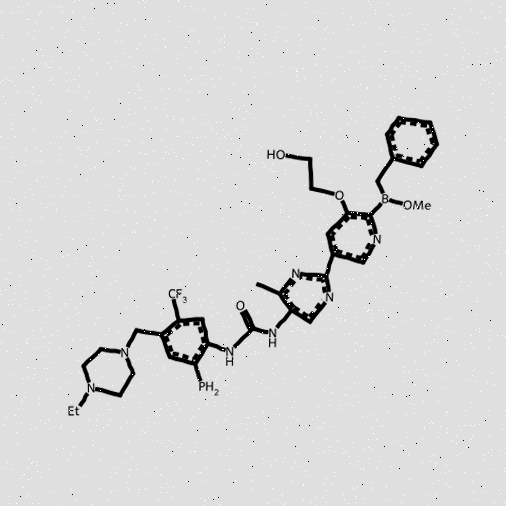 CCN1CCN(Cc2cc(P)c(NC(=O)Nc3cnc(-c4cnc(B(Cc5ccccc5)OC)c(OCCO)c4)nc3C)cc2C(F)(F)F)CC1